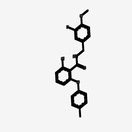 COc1ccc(CNC(=O)c2c(Cl)cccc2Oc2ccc(C)cc2)cc1F